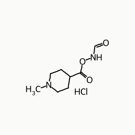 CN1CCC(C(=O)ONC=O)CC1.Cl